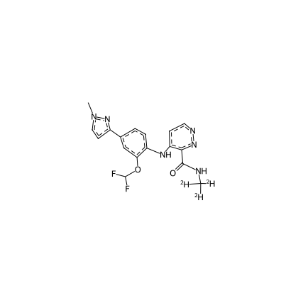 [2H]C([2H])([2H])NC(=O)c1nnccc1Nc1ccc(-c2ccn(C)n2)cc1OC(F)F